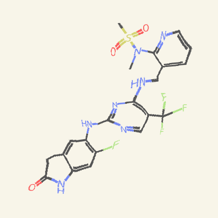 CN(c1ncccc1CNc1nc(Nc2cc3c(cc2F)NC(=O)C3)ncc1C(F)(F)F)S(C)(=O)=O